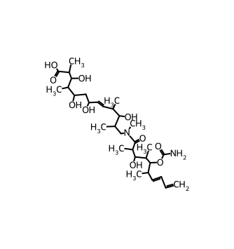 C=CC=CC(C)C(OC(N)=O)C(C)C(O)C(C)C(=O)N(C)CC(C)C(O)C(C)C=CC(O)CC(O)C(C)C(O)C(C)C(=O)O